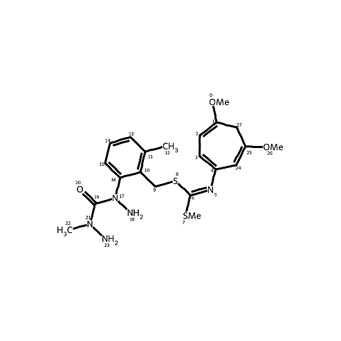 COC1=CC=C(N=C(SC)SCc2c(C)cccc2N(N)C(=O)N(C)N)C=C(OC)C1